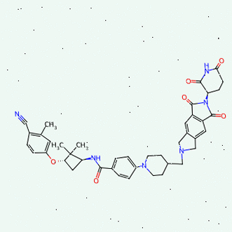 Cc1cc(O[C@H]2C[C@H](NC(=O)c3ccc(N4CCC(CN5Cc6cc7c(cc6C5)C(=O)N([C@@H]5CCC(=O)NC5=O)C7=O)CC4)cc3)C2(C)C)ccc1C#N